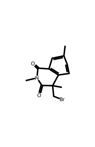 Cc1ccc2c(c1)C(=O)N(C)C(=O)C2(C)CBr